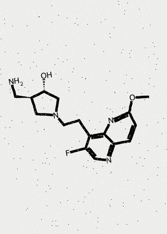 COc1ccc2ncc(F)c(CCN3C[C@@H](CN)[C@H](O)C3)c2n1